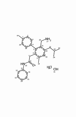 Cc1ccc(-c2c(CC(=O)Nc3ccccc3)c(C)nc(CC(C)C)c2CN)cc1.Cl.Cl